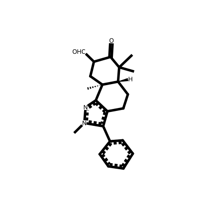 Cn1nc2c(c1-c1ccccc1)CC[C@H]1C(C)(C)C(=O)C(C=O)C[C@]21C